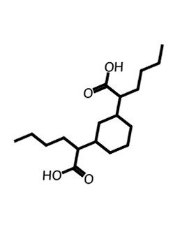 CCCCC(C(=O)O)C1CCCC(C(CCCC)C(=O)O)C1